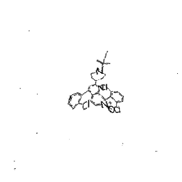 CC(C)(C)N1CCC(c2cc(-c3ccccc3Cl)c3cc[n+]([O-])c(-c4c(Cl)cccc4Cl)c3n2)CC1